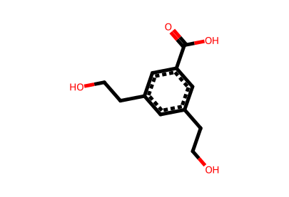 O=C(O)c1cc(CCO)cc(CCO)c1